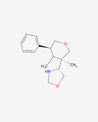 CC1[C@@H](c2ccccc2)COC[C@@]1(C)[C@@H]1COCN1